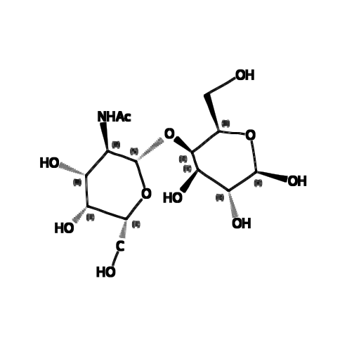 CC(=O)N[C@H]1[C@H](O[C@@H]2[C@H](O)[C@@H](O)[C@H](O)O[C@@H]2CO)O[C@H](CO)[C@H](O)[C@@H]1O